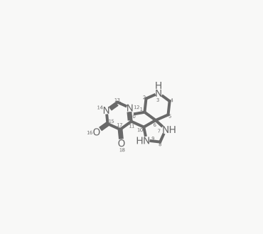 CC1CNCCC12NCNC2C1=N[C]=NC(=O)C1=O